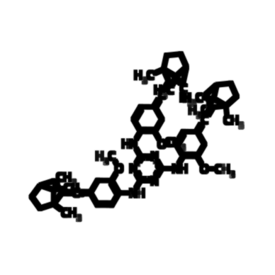 COC1=C(Nc2nc(NC3=C(OC)CC(=C=C4CC5CCC4(C)C5(C)C)C=C3)nc(NC3=C(OC)CC(=C=C4CC5CCC4(C)C5(C)C)C=C3)n2)C=CC(=C=C2CC3CCC2(C)C3(C)C)C1